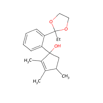 CCC1(c2ccccc2C2(O)CC(C)C(C)=C2C)OCCO1